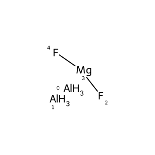 [AlH3].[AlH3].[F][Mg][F]